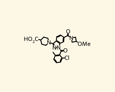 COC1CN(C(=O)c2ccc3c(N4CCC(C(=O)O)CC4)nn(C(=O)c4c(C)cccc4Cl)c3c2)C1